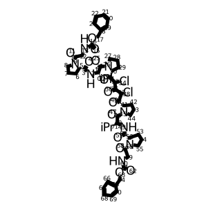 CC(C)[C@H](NC(=O)[C@@H]1CCCN1C(=O)CNC(=O)OCc1ccccc1)C(=O)N1CCC[C@H]1C(=O)C(Cl)C(=O)C(Cl)C(=O)[C@@H]1CCCN1C(=O)[C@@H](NC(=O)[C@@H]1CCCN1C(=O)CNC(=O)OCc1ccccc1)C(C)C